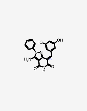 Nc1c2c(nn1-c1ccccc1)/C(=C\c1cc(O)cc(O)c1)C(=O)NC2=O